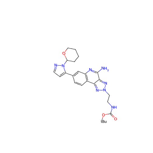 CC(C)(C)OC(=O)NCCn1nc2c(N)nc3cc(-c4ccnn4C4CCCCO4)ccc3c2n1